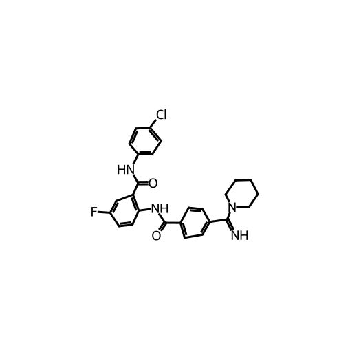 N=C(c1ccc(C(=O)Nc2ccc(F)cc2C(=O)Nc2ccc(Cl)cc2)cc1)N1CCCCC1